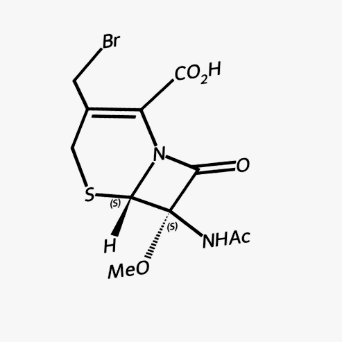 CO[C@@]1(NC(C)=O)C(=O)N2C(C(=O)O)=C(CBr)CS[C@H]21